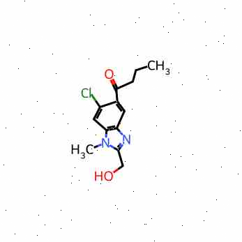 CCCC(=O)c1cc2nc(CO)n(C)c2cc1Cl